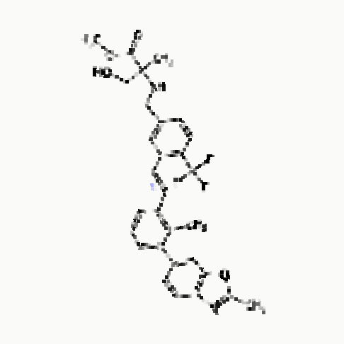 COC(=O)C(C)(CO)NCc1ccc(C(F)(F)F)c(/C=C/c2cccc(-c3ccc4nc(C)oc4c3)c2C)c1